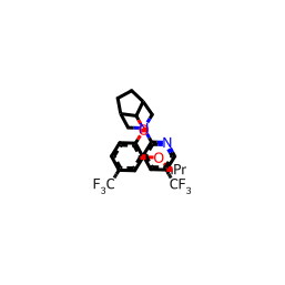 CCCOc1cc(C(F)(F)F)ccc1OC1C2CCC1CN(c1ccc(C(F)(F)F)cn1)C2